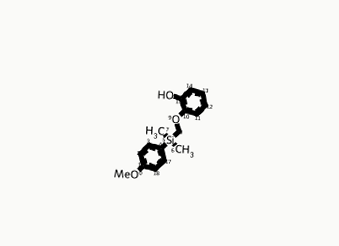 COc1ccc([Si](C)(C)COc2ccccc2O)cc1